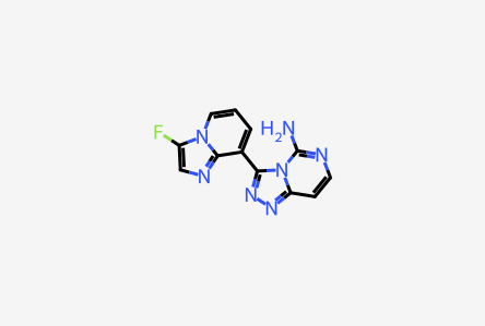 Nc1nccc2nnc(-c3cccn4c(F)cnc34)n12